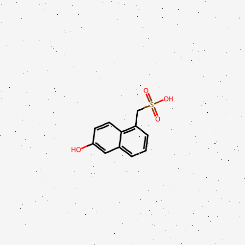 O=S(=O)(O)Cc1cccc2cc(O)ccc12